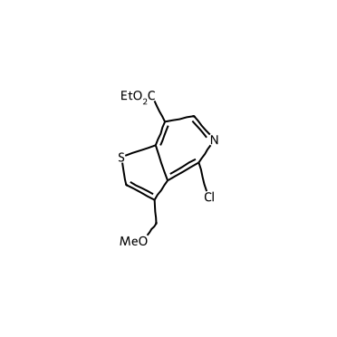 CCOC(=O)c1cnc(Cl)c2c(COC)csc12